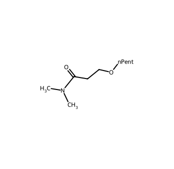 CCCCCOCCC(=O)N(C)C